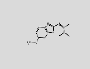 CC(=Nc1nc2ccc(OC(F)(F)F)cc2s1)N(C)C